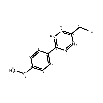 COc1ccc(-c2nnc(CI)nn2)cc1